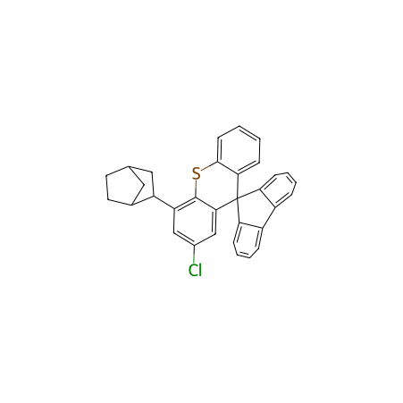 Clc1cc(C2CC3CCC2C3)c2c(c1)C1(c3ccccc3S2)c2ccccc2-c2ccccc21